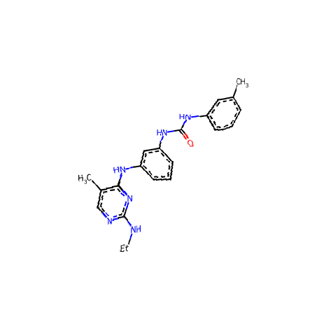 CCNc1ncc(C)c(Nc2cccc(NC(=O)Nc3cccc(C)c3)c2)n1